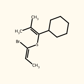 C/C=C(/Br)SC(=C(C)C)C1CCCCC1